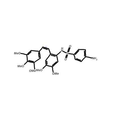 COc1cc(/C=C\c2cc(OC)c(OC)c(OC)c2)c(NS(=O)(=O)c2ccc(N)cc2)cc1OC